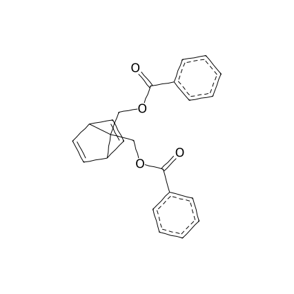 O=C(OCC1(COC(=O)c2ccccc2)C2C=CC1C=C2)c1ccccc1